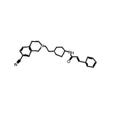 N#Cc1ccc2c(c1)CN(CCC1CCC(NC(=O)/C=C/c3ccccc3)CC1)CC2